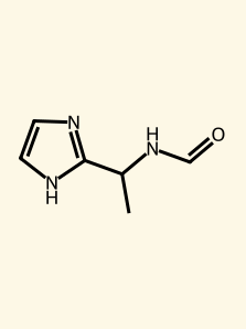 CC(NC=O)c1ncc[nH]1